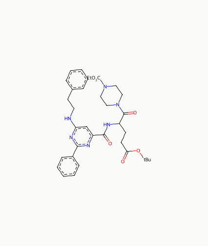 CCOC(=O)N1CCN(C(=O)C(CCC(=O)OC(C)(C)C)NC(=O)c2cc(NCCc3ccccc3)nc(-c3ccccc3)n2)CC1